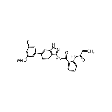 C=CC(=O)Nc1ccccc1C(=O)Nc1n[nH]c2cc(-c3cc(F)cc(OC)c3)ccc12